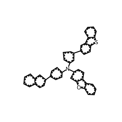 c1cc(-c2ccc3sc4ccccc4c3c2)cc(N(c2ccc(-c3ccc4ccccc4c3)cc2)c2ccc3c(c2)oc2ccccc23)c1